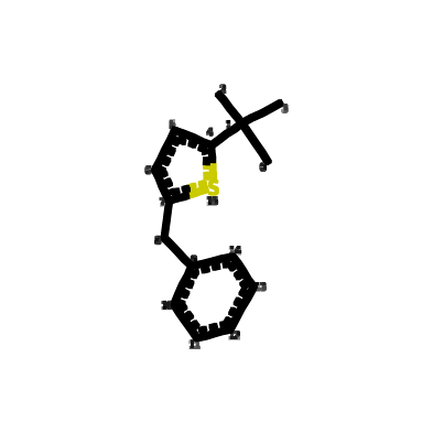 CC(C)(C)c1ccc(Cc2ccccc2)s1